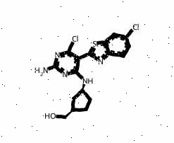 Nc1nc(Cl)c(-c2nc3ccc(Cl)cc3s2)c(N[C@H]2CC[C@@H](CO)C2)n1